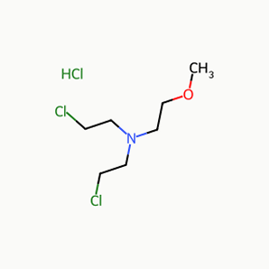 COCCN(CCCl)CCCl.Cl